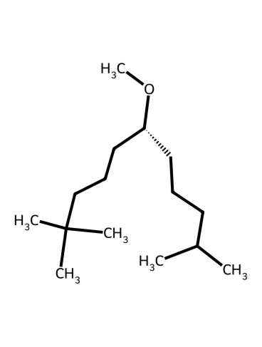 CO[C@H](CCCC(C)C)CCCC(C)(C)C